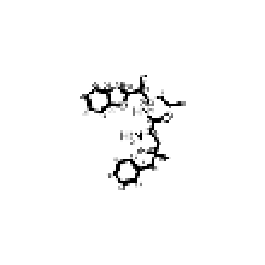 CCC[C@H](NC(=O)[C@@H](N)CC(F)(F)Cc1ccccc1)C(=O)c1nc2ccccc2o1